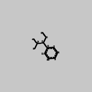 CCC([C](C)C)c1ccccc1